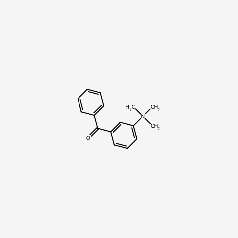 C[N+](C)(C)c1cccc(C(=O)c2ccccc2)c1